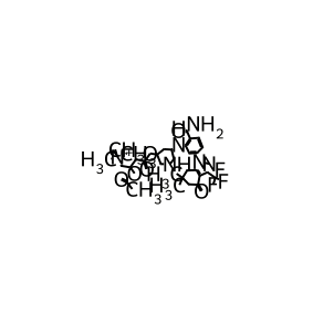 CC(=O)OC(CC(=O)OC1CNCC(Nc2cc(-n3nc(C(F)(F)F)c4c3CC(C)(C)CC4=O)ccc2C(N)=O)C1)C[N+](C)(C)C